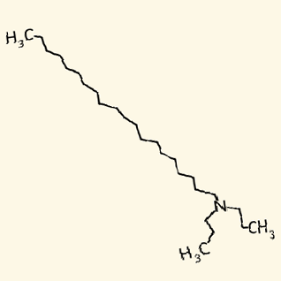 CCCCCCCCCCCCCCCCCCCCN(CCC)CCC